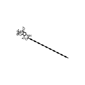 CC#CC#CC#CC#CC#CC#CC#CC#CC#CC#CC(=O)N[C@H]1C[C@H](COC)C(OP(=O)(O)OC)[C@@H]1OC